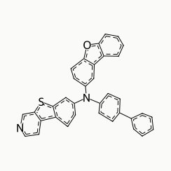 c1ccc(-c2ccc(N(c3ccc4c(c3)sc3cnccc34)c3ccc4oc5ccccc5c4c3)cc2)cc1